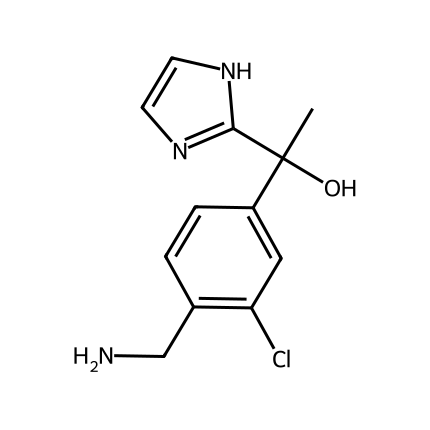 CC(O)(c1ccc(CN)c(Cl)c1)c1ncc[nH]1